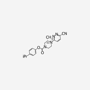 CC(C)c1ccc(OC(=O)N2CCN(c3ccc(C#N)nn3)[C@@H](C)C2)cc1